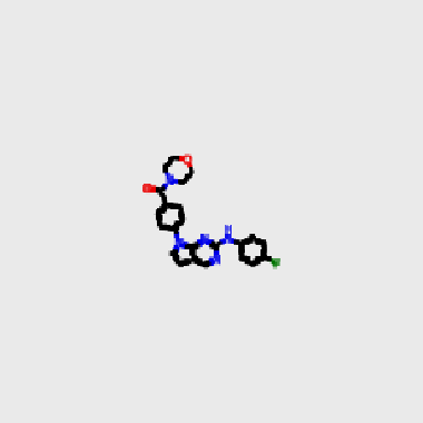 O=C(c1ccc(-n2ccc3cnc(Nc4ccc(F)cc4)nc32)cc1)N1CCOCC1